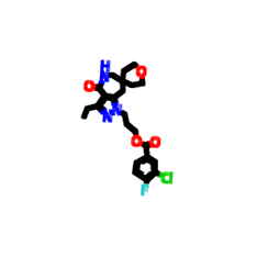 CCc1nn(CCCOC(=O)c2ccc(F)c(Cl)c2)c2c1C(=O)NCC1(CCOCC1)C2